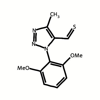 COc1cccc(OC)c1-n1nnc(C)c1C=S